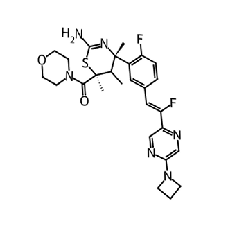 CC1[C@@](C)(C(=O)N2CCOCC2)SC(N)=N[C@]1(C)c1cc(/C=C(\F)c2cnc(N3CCC3)cn2)ccc1F